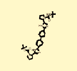 CC(C)(C)NC(=O)N1CCCC1c1cnc(-c2ccc(-c3ccc(-c4ncc(C5CCCN5C(=O)OC(C)(C)C)[nH]4)cc3)cc2)[nH]1